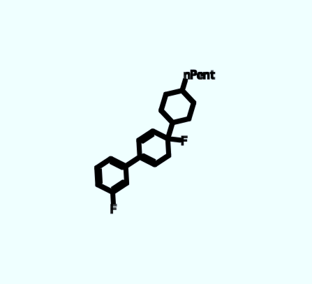 CCCCCC1CCC(C2(F)C=CC(c3cccc(F)c3)=CC2)CC1